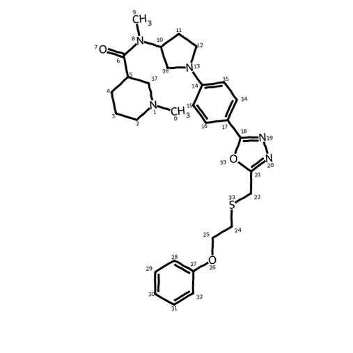 CN1CCCC(C(=O)N(C)C2CCN(c3ccc(-c4nnc(CSCCOc5ccccc5)o4)cc3)C2)C1